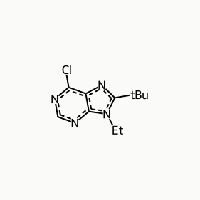 CCn1c(C(C)(C)C)nc2c(Cl)ncnc21